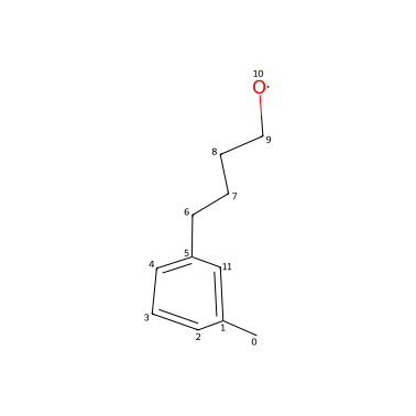 Cc1cccc(CCCC[O])c1